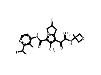 Cc1c(C(=O)C(=O)NC2(C(F)(F)F)COC2)c2n(c1C(=O)Nc1ccnc(C(F)F)c1F)CC(F)C2